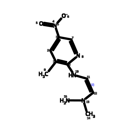 Cc1cc([N+](=O)[O-])cnc1N/C=C\N(C)N